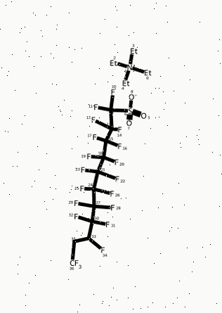 CC[N+](CC)(CC)CC.O=S(=O)([O-])C(F)(F)C(F)(F)C(F)(F)C(F)(F)C(F)(F)C(F)(F)C(F)(F)C(F)(F)C(F)CC(F)(F)F